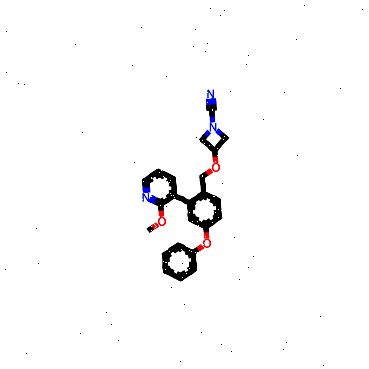 COc1ncccc1-c1cc(Oc2ccccc2)ccc1COC1CN(C#N)C1